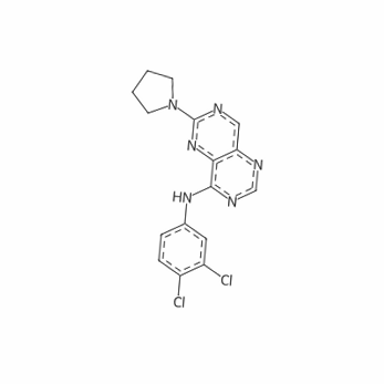 Clc1ccc(Nc2ncnc3cnc(N4CCCC4)nc23)cc1Cl